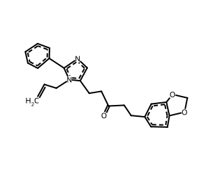 C=CCn1c(CCC(=O)CCc2ccc3c(c2)OCO3)cnc1-c1ccccc1